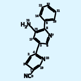 N#Cc1ccc(-c2cnc(-c3ccccc3)c(N)c2)nc1